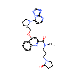 CN(CCCN1CCCC1=O)C(=O)c1cc(OC[C@H]2CCCN2c2ccnc3ncnn23)c2ccccc2n1